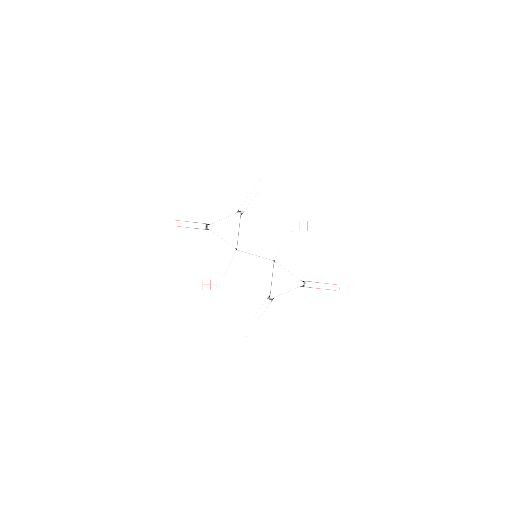 O=C1C(=O)C1(O)C1(O)C(=O)C1=O